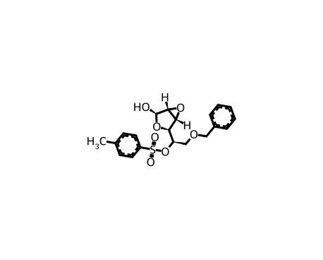 Cc1ccc(S(=O)(=O)O[C@H](COCc2ccccc2)[C@H]2O[C@@H](O)[C@@H]3O[C@@H]32)cc1